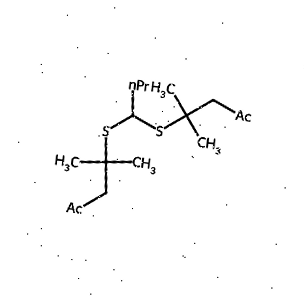 CCCC(SC(C)(C)CC(C)=O)SC(C)(C)CC(C)=O